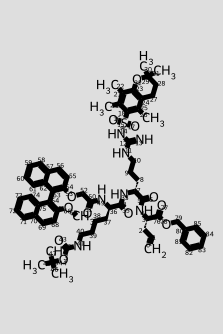 C=CC[C@H](NC(=O)[C@@H](CCCNC(=N)NS(=O)(=O)c1c(C)c(C)c2c(c1C)CCC(C)(C)O2)NC(=O)[C@@H](CCCCNC(=O)OC(C)(C)C)NC(=O)COc1ccc2ccccc2c1-c1c(OC)ccc2ccccc12)C(=O)OCc1ccccc1